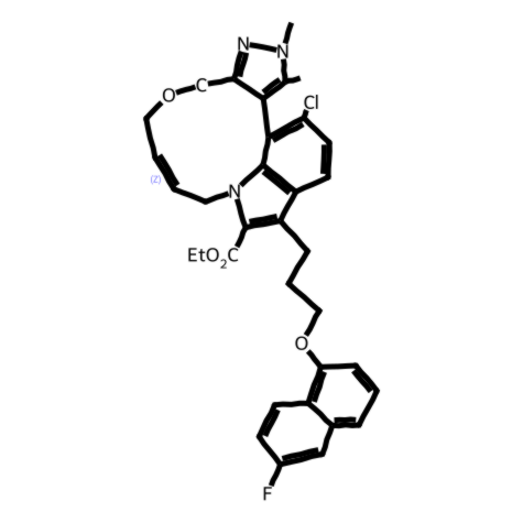 CCOC(=O)c1c(CCCOc2cccc3cc(F)ccc23)c2ccc(Cl)c3c2n1C/C=C\COCc1nn(C)c(C)c1-3